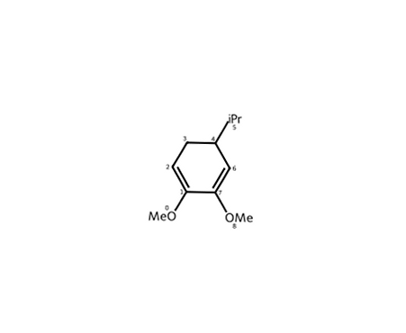 COC1=CCC(C(C)C)C=C1OC